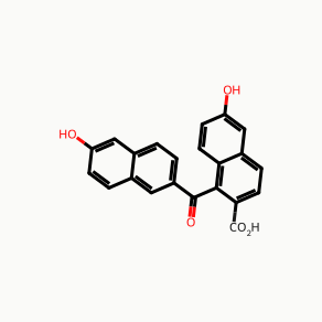 O=C(O)c1ccc2cc(O)ccc2c1C(=O)c1ccc2cc(O)ccc2c1